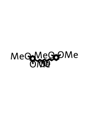 COc1ccc(C=CC(=O)CC(=O)C=Cc2ccc(OC)cc2OC)c(OC)c1